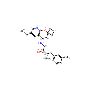 CC(=O)N[C@@H](Cc1cccc(C(F)(F)F)c1)[C@@H](O)CN[C@H]1CC2(CCC2)Oc2ncc(CC(C)(C)C)cc21